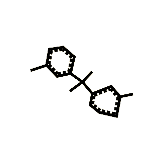 Cc1cccc(C(C)(C)c2cccc(C)c2)c1